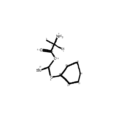 CCC(C)(N)C(=O)OC(OC1CCCCC1)C(C)(C)C